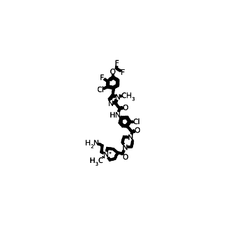 Cn1c(-c2ccc(OC(F)F)c(F)c2Cl)cnc1C(=O)Nc1ccc(C(=O)N2CCN(C(=O)C3CC[N+](C)(CCN)CC3)CC2)c(Cl)c1